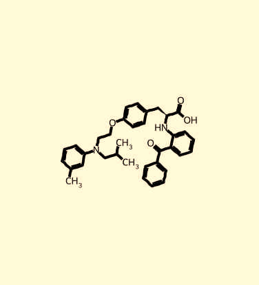 Cc1cccc(N(CCOc2ccc(C[C@H](Nc3ccccc3C(=O)c3ccccc3)C(=O)O)cc2)CC(C)C)c1